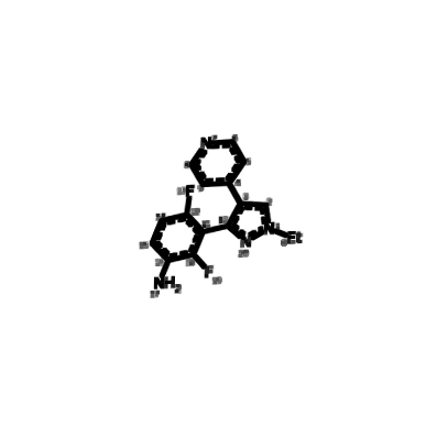 CCn1cc(-c2ccncc2)c(-c2c(F)ccc(N)c2F)n1